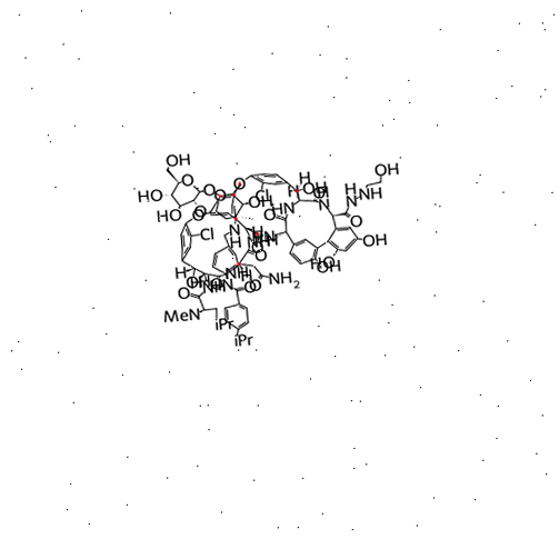 CN[C@H](CC(C)C)C(=O)N[C@H]1C(=O)N[C@@H](CC(N)=O)C(=O)N[C@H]2C(=O)N[C@H]3C(=O)N[C@H](C(=O)N[C@@H](C(=O)NNCCO)c4cc(O)cc(O)c4-c4cc3ccc4O)[C@H](O)c3ccc(c(Cl)c3)Oc3cc2cc(c3O[C@@H]2O[C@H](CO)[C@@H](O)[C@H](O)[C@H]2O[C@H]2C[C@](C)(NCc3ccc(NC(=O)c4ccc(C(C)C)cc4)cc3)[C@H](O)[C@H](C)O2)Oc2ccc(cc2Cl)[C@H]1O